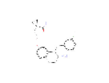 NC(=O)C1(CCOc2ccc3c(c2)C(Cc2cccc(Cl)c2)C(N)CC3)CC1